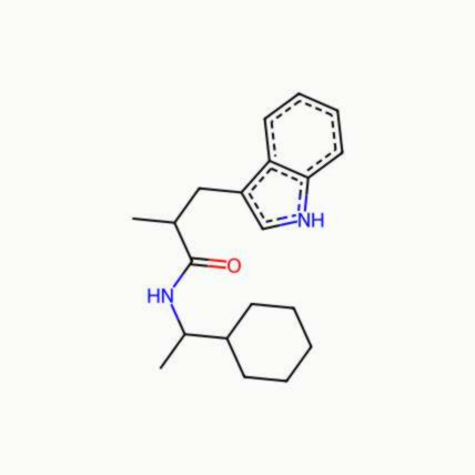 CC(Cc1c[nH]c2ccccc12)C(=O)NC(C)C1CCCCC1